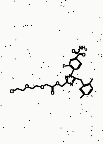 Cc1ccc(C)c(Cc2nc(COC(=O)COCCOCCCl)nn2-c2ccc(S(N)(=O)=O)cc2F)c1